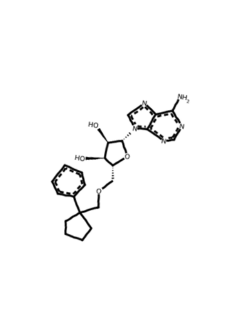 Nc1ncnc2c1ncn2[C@@H]1O[C@H](COCC2(c3ccccc3)CCCC2)[C@@H](O)[C@H]1O